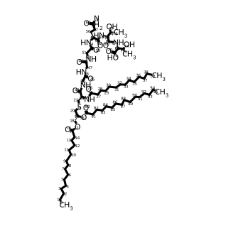 CCCCCCCCCCCCCCCC(=O)OC[C@H](CSC[C@H](NC(=O)CCCCCCCCCCCCC)C(=O)NCC(=O)NCC(=O)NCC(=O)N[C@@H](CCC(N)=O)C(=O)N[C@H](C(=O)N[C@H](C(=O)O)[C@@H](C)O)[C@@H](C)O)OC(=O)CCCCCCCCCCCCCCC